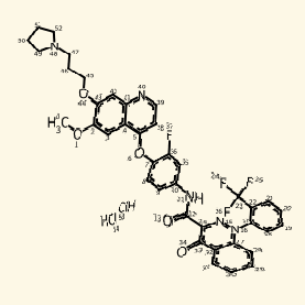 COc1cc2c(Oc3ccc(NC(=O)c4nn(-c5ccccc5C(F)(F)F)c5ccccc5c4=O)cc3F)ccnc2cc1OCCCN1CCCC1.Cl.Cl